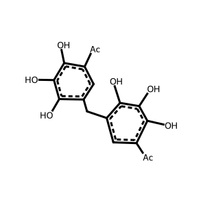 CC(=O)c1cc(Cc2cc(C(C)=O)c(O)c(O)c2O)c(O)c(O)c1O